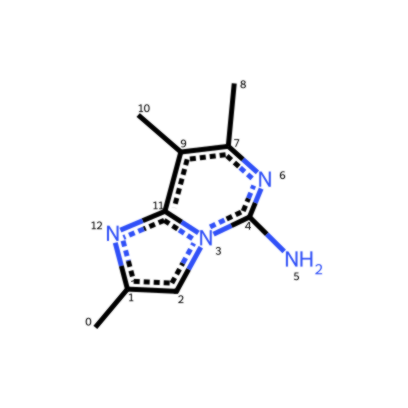 Cc1cn2c(N)nc(C)c(C)c2n1